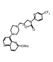 COc1ccc2nccc(N3CCN(C[C@H]4CN(c5ccc(C(F)(F)F)cn5)C(=O)O4)CC3)c2n1